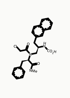 CNC(=O)[C@@H](Cc1ccccc1)N(C[C@@H](Cc1ccc2ccccc2c1)NC(=O)O)C(=O)CCl